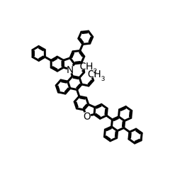 C=Cc1c(/C=C\C)c(-c2ccc3oc4cc(-c5c6ccccc6c(-c6ccccc6)c6ccccc56)ccc4c3c2)c2ccccc2c1-n1c2ccc(-c3ccccc3)cc2c2cc(-c3ccccc3)ccc21